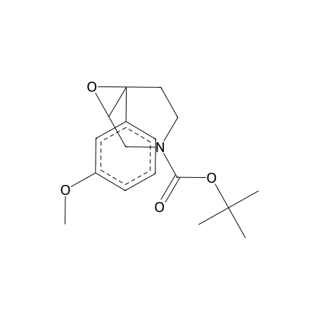 COc1cccc(C23CCN(C(=O)OC(C)(C)C)CC2O3)c1